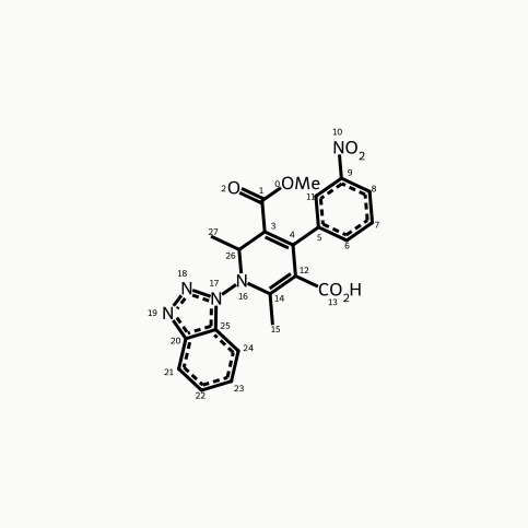 COC(=O)C1=C(c2cccc([N+](=O)[O-])c2)C(C(=O)O)=C(C)N(n2nnc3ccccc32)C1C